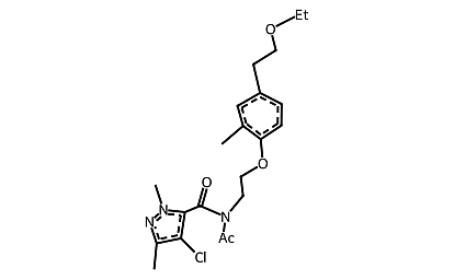 CCOCCc1ccc(OCCN(C(C)=O)C(=O)c2c(Cl)c(C)nn2C)c(C)c1